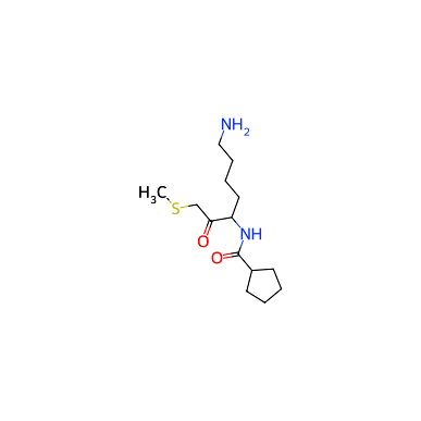 CSCC(=O)C(CCCCN)NC(=O)C1CCCC1